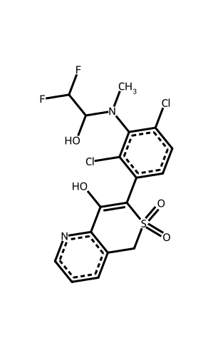 CN(c1c(Cl)ccc(C2=C(O)c3ncccc3CS2(=O)=O)c1Cl)C(O)C(F)F